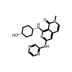 Cn1ccc2cc(Nc3cnccn3)nc(N[C@H]3CC[C@@H](O)CC3)c2c1=O